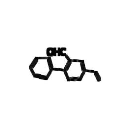 C=Cc1ccc(-c2ccccc2)c(C=O)c1